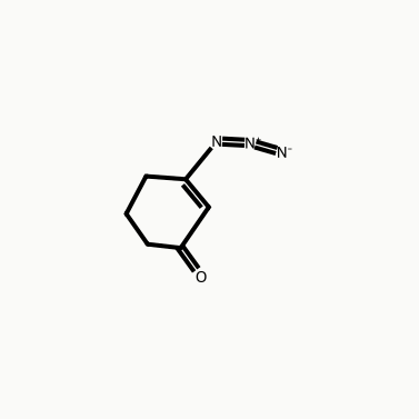 [N-]=[N+]=NC1=CC(=O)CCC1